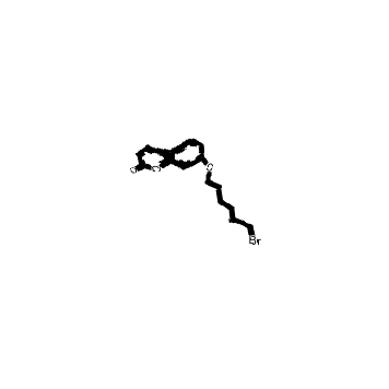 O=c1ccc2ccc(OCCCCCCBr)cc2o1